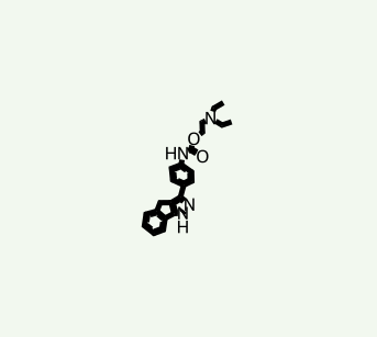 CCN(CC)CCOC(=O)Nc1ccc(-c2n[nH]c3c2Cc2ccccc2-3)cc1